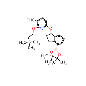 CC1(C)OB(c2cccc3c2CCC3Oc2ccc(C=O)c(OCC[Si](C)(C)C)n2)OC1(C)C